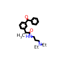 CCN(CC)CCCNC(=O)[C@H](C)c1cccc(C(=O)c2ccccc2)c1